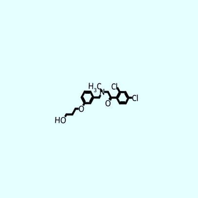 CN(CC(=O)c1ccc(Cl)cc1Cl)Cc1cccc(OCCCO)c1